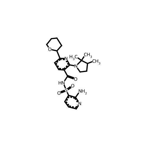 CC1CCN(c2nc(C3CCCCO3)ccc2C(=O)NS(=O)(=O)c2cccnc2N)C1(C)C